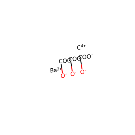 O=C([O-])[O-].O=C([O-])[O-].O=C([O-])[O-].[Ba+2].[C+4]